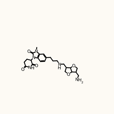 Cn1c(=O)n(C2CCC(=O)NC2=O)c2ccc(CCCNCC3COC4C(CN)COC34)cc21